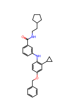 O=C(NCCC1CCCC1)c1cccc(Nc2ccc(OCc3ccccc3)cc2C2CC2)c1